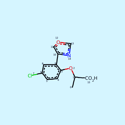 CC(Oc1ccc(Cl)cc1-c1cocn1)C(=O)O